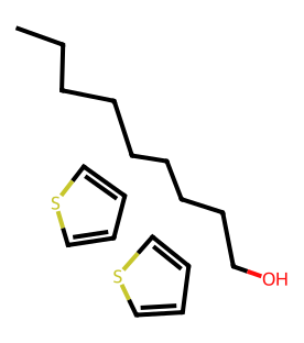 CCCCCCCCCO.c1ccsc1.c1ccsc1